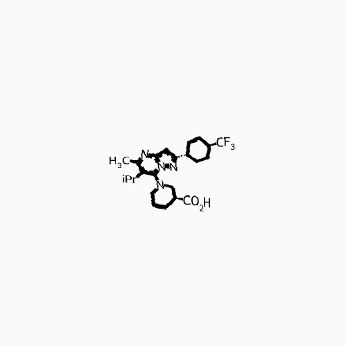 Cc1nc2cc([C@H]3CC[C@H](C(F)(F)F)CC3)nn2c(N2CCC[C@H](C(=O)O)C2)c1C(C)C